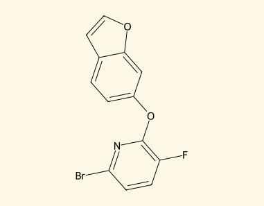 Fc1ccc(Br)nc1Oc1ccc2ccoc2c1